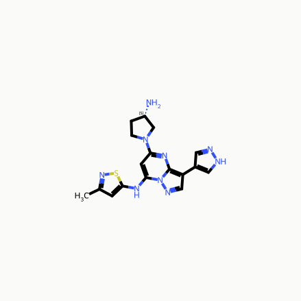 Cc1cc(Nc2cc(N3CC[C@H](N)C3)nc3c(-c4cn[nH]c4)cnn23)sn1